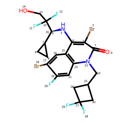 O=c1c(Br)c(N[C@@H](C2CC2)C(F)(F)CO)c2cc(Br)c(F)cc2n1CC1CC(F)(F)C1